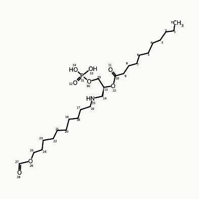 CCCCCCCCCCC(=O)O[C@@H](CNCCCCCCCCCCOC=O)COP(=O)(O)O